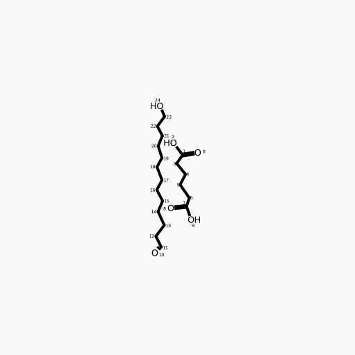 O=C(O)CCCCC(=O)O.O=CCCCCCCCCCCCCO